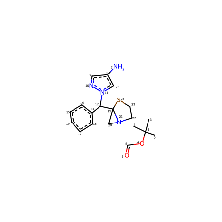 CC(C)(C)OC=O.Nc1cnn(C(c2ccccc2)C23CN2CCS3)c1